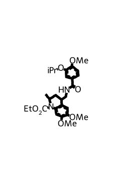 CCOC(=O)N1c2cc(OC)c(OC)cc2C(CNC(=O)c2ccc(OC)c(OC(C)C)c2)CC1C